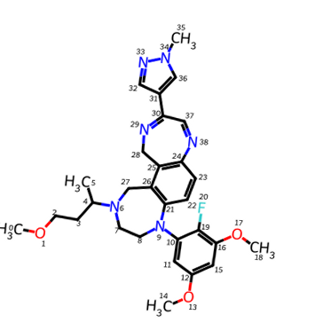 COCCC(C)N1CCN(c2cc(OC)cc(OC)c2F)c2ccc3c(c2C1)CN=C(c1cnn(C)c1)C=N3